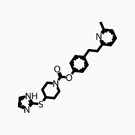 Cc1cccc(CCc2ccc(OC(=O)N3CCC(Sc4ncc[nH]4)CC3)cc2)n1